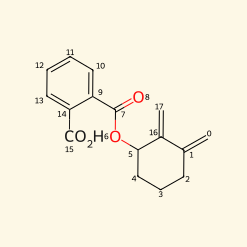 C=C1CCCC(OC(=O)c2ccccc2C(=O)O)C1=C